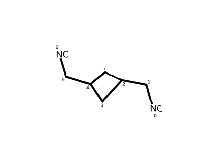 [C-]#[N+]CC1CC(C[N+]#[C-])C1